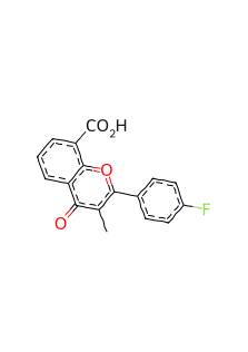 Cc1c(-c2ccc(F)cc2)oc2c(C(=O)O)cccc2c1=O